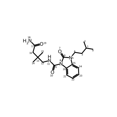 CC(C)CCn1c(=O)n(C(=O)NCC(C)(C)CC(N)=O)c2ccccc21